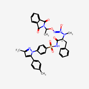 Cc1ccc(-c2cc(C(F)(F)F)nn2-c2ccc(S(=O)(=O)NC(=O)[C@H](Cc3ccccc3)N(C)[N+]([O-])=NOC(C)N3C(=O)c4ccccc4C3=O)cc2)cc1